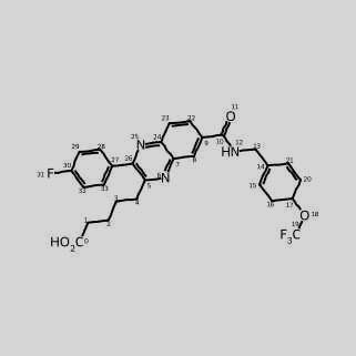 O=C(O)CCCCc1nc2cc(C(=O)NCC3=CCC(OC(F)(F)F)C=C3)ccc2nc1-c1ccc(F)cc1